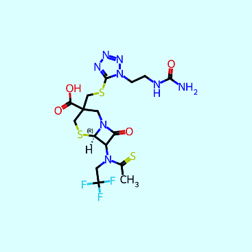 CC(=S)N(CC(F)(F)F)C1C(=O)N2CC(CSc3nnnn3CCNC(N)=O)(C(=O)O)CS[C@H]12